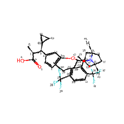 C[C@H](C(=O)O)[C@H](c1ccc2c(c1)OC(C1C[C@H]3CC[C@@H](C1)N3[C@H](C)c1cc(C(F)(F)F)ccc1C(F)(F)F)CC2)C1CC1